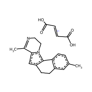 CC1=NCCn2c1cc1c2-c2ccc(C)cc2CC1.O=C(O)/C=C/C(=O)O